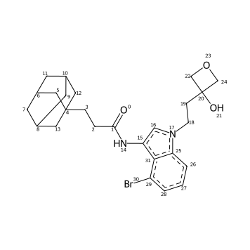 O=C(CCC12CC3CC(CC(C3)C1)C2)Nc1cn(CCC2(O)COC2)c2cccc(Br)c12